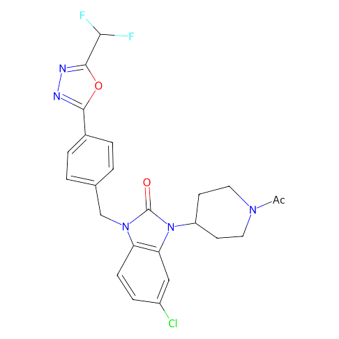 CC(=O)N1CCC(n2c(=O)n(Cc3ccc(-c4nnc(C(F)F)o4)cc3)c3ccc(Cl)cc32)CC1